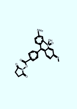 C/N=C1\C=CC2=C(c3ccc(C(=O)ON4C(=O)CCC4=O)cc3)c3ccc(NC)cc3P(=O)(O)C2=C1